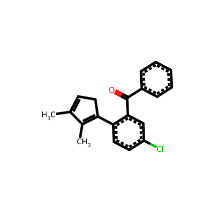 CC1=CCC(c2ccc(Cl)cc2C(=O)c2ccccc2)=C1C